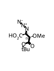 CO[C@H](C(=O)OC(C)(C)C)[C@H](N=[N+]=[N-])C(=O)O